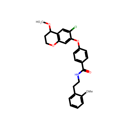 COc1ccccc1CCNC(=O)c1ccc(Oc2cc3c(cc2Cl)C(OC(=O)O)CCO3)cc1